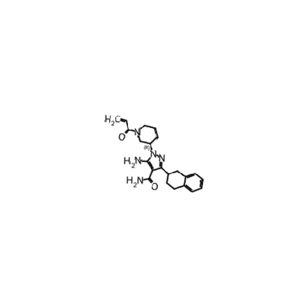 C=CC(=O)N1CCC[C@@H](n2nc(C3CCc4ccccc4C3)c(C(N)=O)c2N)C1